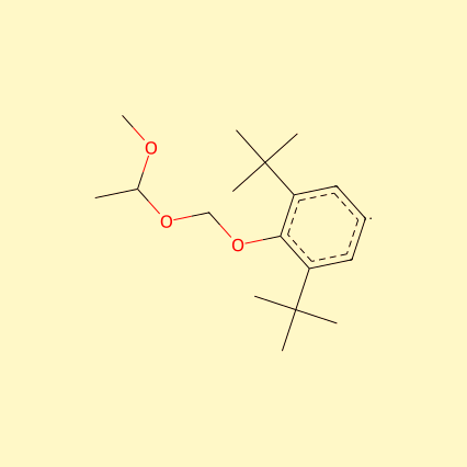 COC(C)OCOc1c(C(C)(C)C)c[c]cc1C(C)(C)C